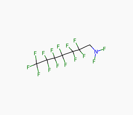 FN(F)CC(F)(F)C(F)(F)C(F)(F)C(F)(F)C(F)(F)C(F)(F)F